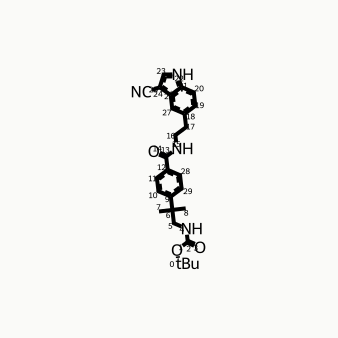 CC(C)(C)OC(=O)NCC(C)(C)c1ccc(C(=O)NCCc2ccc3[nH]cc(C#N)c3c2)cc1